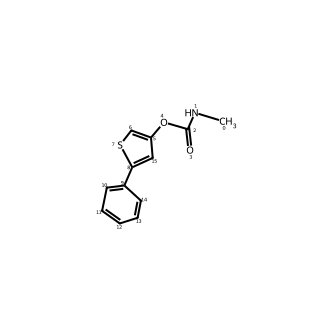 CNC(=O)Oc1csc(-c2ccccc2)c1